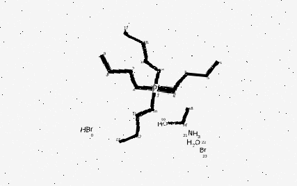 Br.CCCC[P+](CCCC)(CCCC)CCCC.CCO.N.O.[Br-]